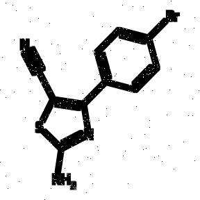 N#Cc1sc(N)nc1-c1ccc(Br)cc1